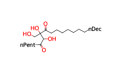 CCCCCCCCCCCCCCCCCC(=O)C(O)(CO)C(O)C(=O)CCCCC